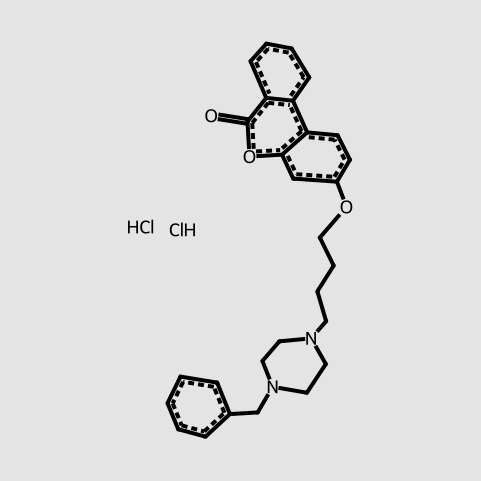 Cl.Cl.O=c1oc2cc(OCCCCN3CCN(Cc4ccccc4)CC3)ccc2c2ccccc12